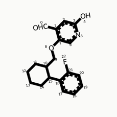 O=Cc1cc(O)ncc1OCC1CCCCC1c1ccccc1F